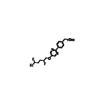 CCCCCCCCCCCc1ccc(-c2ncc(OCC(F)CCC(F)CC)cn2)cc1